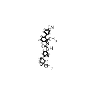 Cc1c(OC(=O)Nc2ccc(N3CCOC(C)C3)nc2)cccc1-c1ccc(C#N)cc1